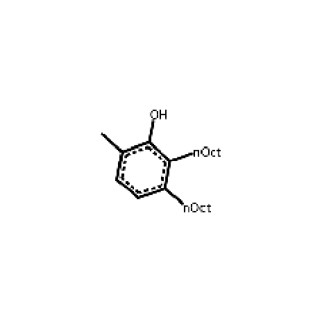 CCCCCCCCc1ccc(C)c(O)c1CCCCCCCC